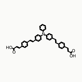 O=C(O)/C=C/c1ccc(/C=C/c2ccc(N(c3ccccc3)c3ccc(/C=C/c4ccc(/C=C/C(=O)O)cc4)cc3)cc2)cc1